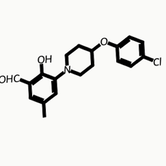 Cc1cc(C=O)c(O)c(N2CCC(Oc3ccc(Cl)cc3)CC2)c1